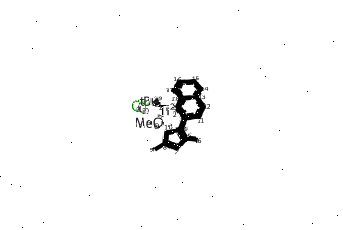 C[O][Ti+2]([c]1c(C2=C(C)C=C(C)C2)ccc2ccccc12)[C](C)(C)C.[Cl-].[Cl-]